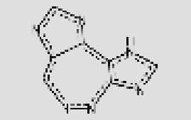 c1nc2cnnc3nc[nH]c3c-2n1